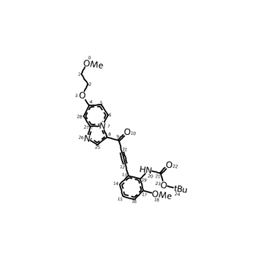 COCCOc1ccn2c(C(=O)C#Cc3cccc(OC)c3NC(=O)OC(C)(C)C)cnc2c1